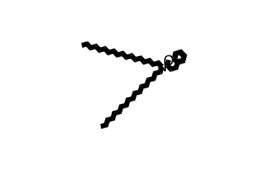 CCCCCCCCCCCCCCCCCCN(CCCCCCCCCCCCCCCCCC)C1CCc2ccccc2O1